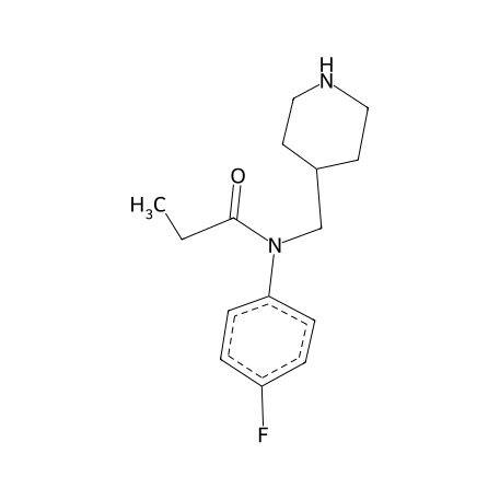 CCC(=O)N(CC1CCNCC1)c1ccc(F)cc1